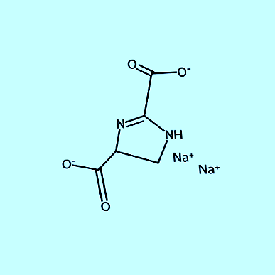 O=C([O-])C1=NC(C(=O)[O-])CN1.[Na+].[Na+]